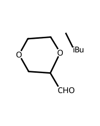 O=CC1COCCO1.[CH2]CC(C)C